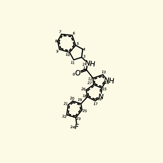 O=C(NC1Cc2ccccc2C1)c1c[nH]c2ncc(-c3cccc(F)c3)cc12